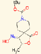 CC1OC(=O)C2(CCN(C(=O)OC(C)(C)C)CC2)C1=NO